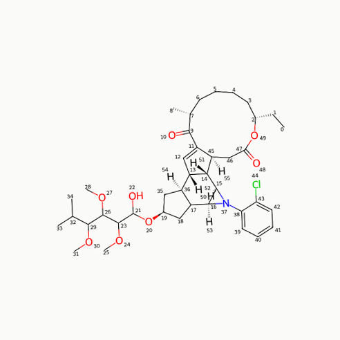 CC[C@H]1CCCC[C@@H](C)C(=O)C2=C[C@@H]3[C@@H]([C@@H]4[C@H](C5C[C@@H](OC(O)C(OC)C(OC)C(OC)C(C)C)C[C@H]53)N4c3ccccc3Cl)[C@@H]2CC(=O)O1